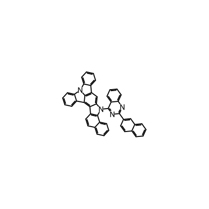 c1ccc2cc(-c3nc(-n4c5cc6c7ccccc7n7c8ccccc8c(c5c5ccc8ccccc8c54)c67)c4ccccc4n3)ccc2c1